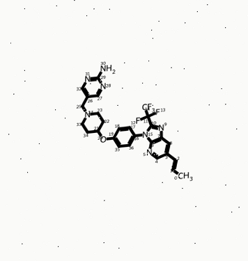 C/C=C/c1cnc2c(c1)nc(C(F)(F)C(F)(F)F)n2-c1ccc(OC2CCN(Cc3cnc(N)nc3)CC2)cc1